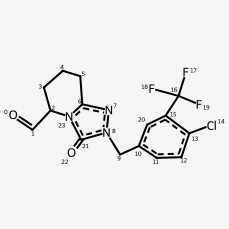 O=CC1CCCc2nn(Cc3ccc(Cl)c(C(F)(F)F)c3)c(=O)n21